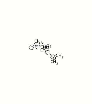 Cc1cc(N2C[C@@H](C)O[C@@H](C)C2)ccc1C(=O)Nc1ccc(Cl)c(-c2nc3ccccc3[nH]2)c1